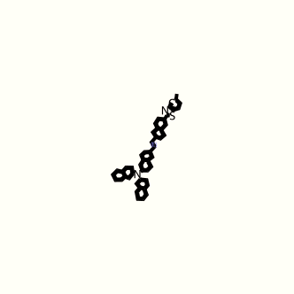 Cc1ccc2sc(-c3ccc4cc(/C=C/c5ccc6cc(N(c7ccc8ccccc8c7)c7ccc8ccccc8c7)ccc6c5)ccc4c3)nc2c1